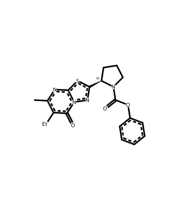 CCc1c(C)nc2sc([C@H]3CCCN3C(=O)Oc3ccccc3)nn2c1=O